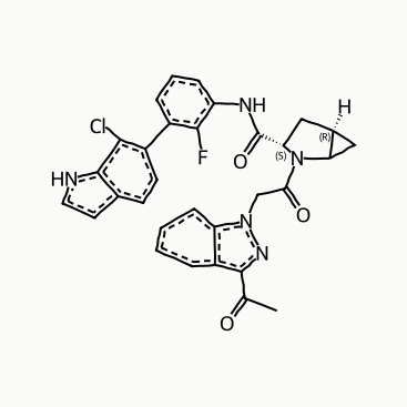 CC(=O)c1nn(CC(=O)N2C3C[C@@H]3C[C@H]2C(=O)Nc2cccc(-c3ccc4cc[nH]c4c3Cl)c2F)c2ccccc12